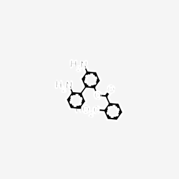 Nc1ccc(OC(=O)c2ccccc2C(=O)O)c(-c2ccccc2N)c1